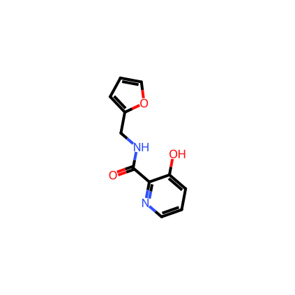 O=C(NCc1ccco1)c1ncccc1O